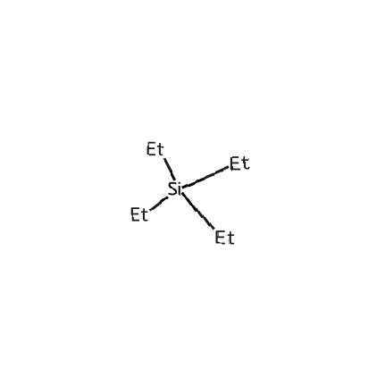 [CH2]C[Si](CC)(CC)CC